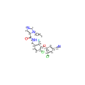 Cn1cncc1C(=O)NCc1ccc(Cl)c(Oc2cc(Cl)cc(C#N)c2)c1F